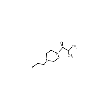 CC(C)C(=O)N1CCN(CCI)CC1